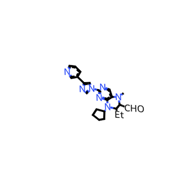 CCC1C(C=O)N(C)c2cnc(-n3cnc(-c4cccnc4)c3)nc2N1C1CCCC1